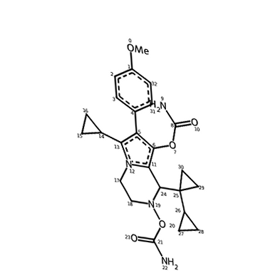 COc1ccc(-c2c(OC(N)=O)c3n(c2C2CC2)CCN(OC(N)=O)C3C2(C3CC3)CC2)cc1